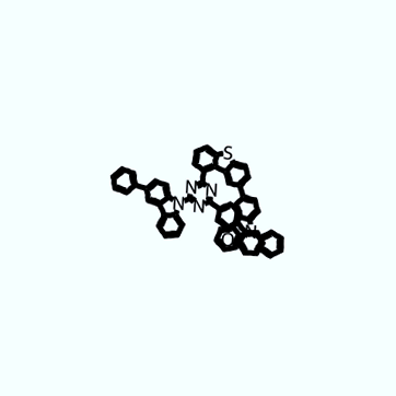 c1ccc(-c2ccc3c(c2)c2ccccc2n3-c2nc(-c3ccc4c(c3)oc3ccccc34)nc(-c3cccc4sc5ccc(-c6ccc7c(c6)c6ccccc6n7-c6ccccc6)cc5c34)n2)cc1